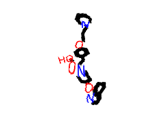 O=CO.c1cnc2c(OC3CCN(CCc4ccc(OCCCN5CCCCCC5)cc4)CC3)cccc2c1